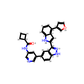 O=C(Nc1cncc(-c2ccc3[nH]nc(-c4cc5c(-c6ccoc6)cccc5[nH]4)c3c2)c1)C1CCC1